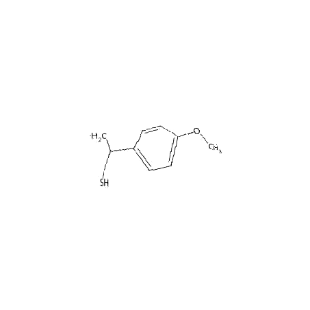 [CH2]C(S)c1ccc(OC)cc1